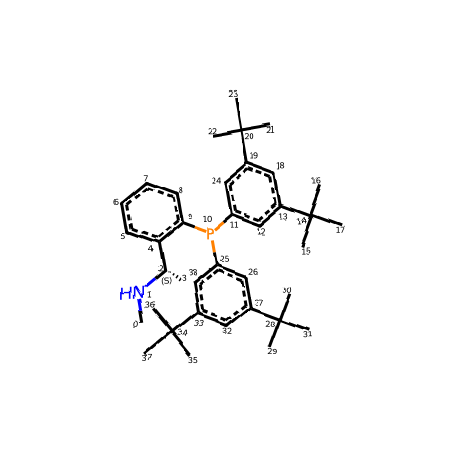 CN[C@@H](C)c1ccccc1P(c1cc(C(C)(C)C)cc(C(C)(C)C)c1)c1cc(C(C)(C)C)cc(C(C)(C)C)c1